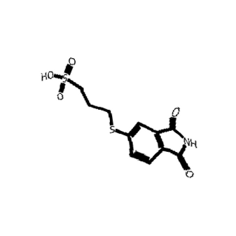 O=C1NC(=O)c2cc(SCCCS(=O)(=O)O)ccc21